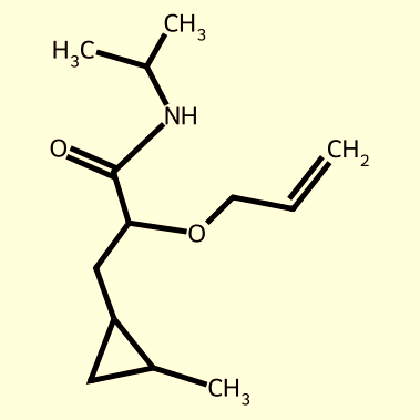 C=CCOC(CC1CC1C)C(=O)NC(C)C